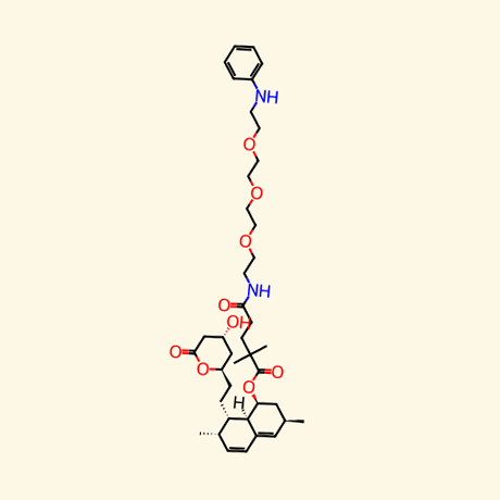 C[C@H]1C=C2C=C[C@H](C)[C@H](CC[C@@H]3C[C@@H](O)CC(=O)O3)[C@H]2[C@@H](OC(=O)C(C)(C)CCC(=O)NCCOCCOCCOCCNc2ccccc2)C1